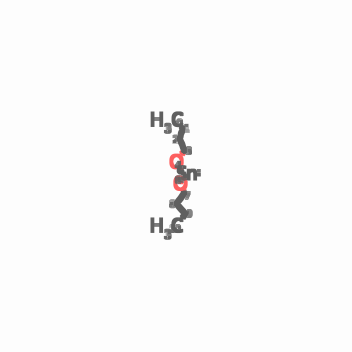 CCCC[O][Sn][O]CCCC